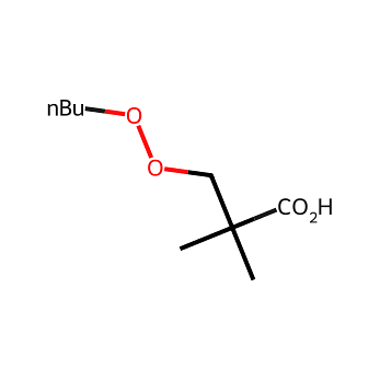 CCCCOOCC(C)(C)C(=O)O